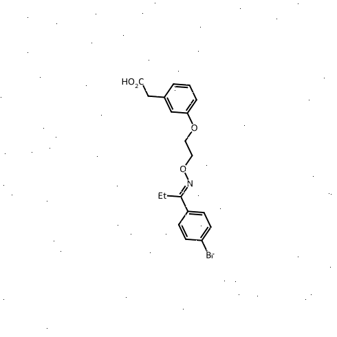 CC/C(=N\OCCOc1cccc(CC(=O)O)c1)c1ccc(Br)cc1